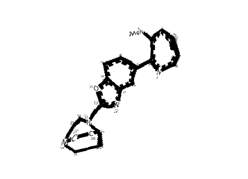 CNc1cccnc1-c1ccc2oc(N3CCN4CCC3CC4)nc2c1